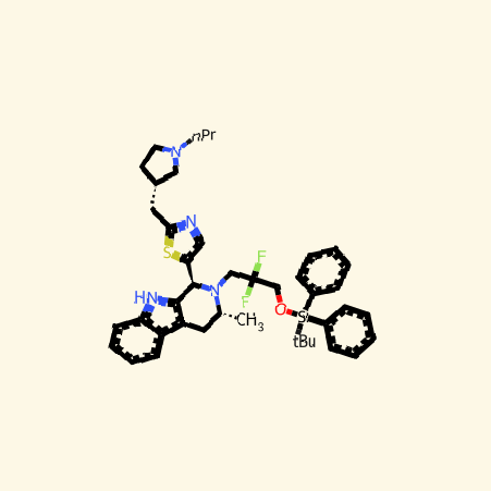 CCCN1CC[C@@H](Cc2ncc([C@@H]3c4[nH]c5ccccc5c4C[C@@H](C)N3CC(F)(F)CO[Si](c3ccccc3)(c3ccccc3)C(C)(C)C)s2)C1